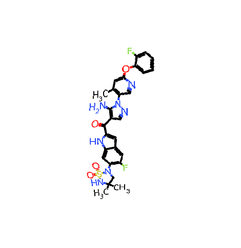 Cc1cc(Oc2ccccc2F)ncc1-n1ncc(C(=O)c2cc3cc(F)c(N4CC(C)(C)NS4(=O)=O)cc3[nH]2)c1N